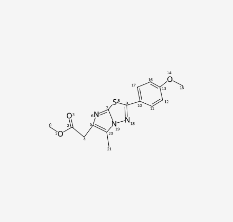 COC(=O)Cc1nc2sc(-c3ccc(OC)cc3)nn2c1C